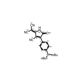 CCCCN(CCCC)c1ccc(C2=C(C#N)C(=C(C#N)C#N)NC2=O)cc1